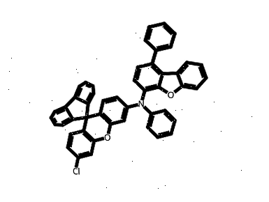 Clc1ccc2c(c1)Oc1cc(N(c3ccccc3)c3ccc(-c4ccccc4)c4c3oc3ccccc34)ccc1C21c2ccccc2-c2ccccc21